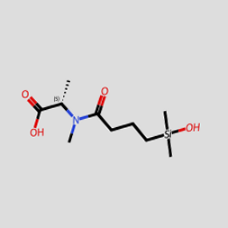 C[C@@H](C(=O)O)N(C)C(=O)CCC[Si](C)(C)O